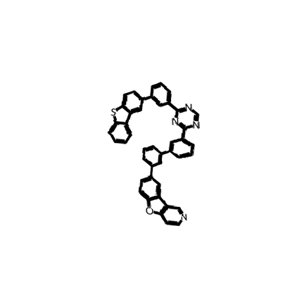 c1cc(-c2cccc(-c3ncnc(-c4cccc(-c5ccc6sc7ccccc7c6c5)c4)n3)c2)cc(-c2ccc3oc4ccncc4c3c2)c1